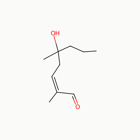 CCCC(C)(O)CC=C(C)C=O